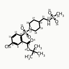 CC(C)(C)OC(=O)c1cc(Cl)ccc1S(=O)(=O)N1CCC(CNS(C)(=O)=O)CC1